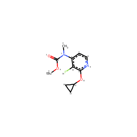 CN(C(=O)OC(C)(C)C)c1ccnc(OC2CC2)c1F